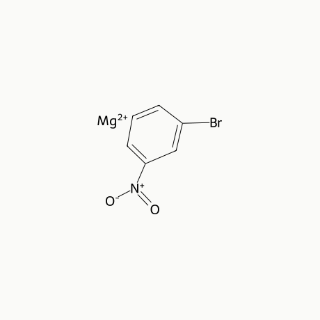 O=[N+]([O-])c1cccc(Br)c1.[Mg+2]